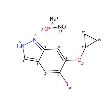 Ic1cc2c[nH]nc2cc1OC1CC1.O=N[O-].[Na+]